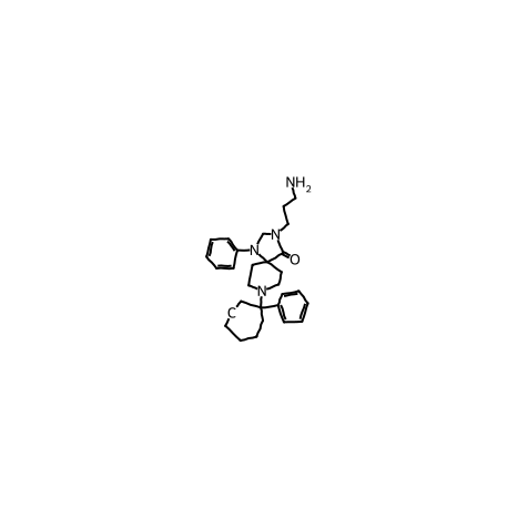 NCCCN1CN(c2ccccc2)C2(CCN(C3(c4ccccc4)CCCCCC3)CC2)C1=O